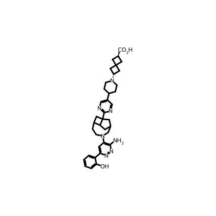 Nc1nnc(-c2ccccc2O)cc1N1CCC2CC3(c4ncc(C5CCN([C@H]6CC7(C[C@H](C(=O)O)C7)C6)CC5)cn4)CC(CC23)C1